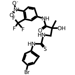 CC(O)(CNC(=S)Nc1ccc(Br)cc1)C(=O)Nc1ccc([N+](=O)[O-])c(C(F)(F)F)c1